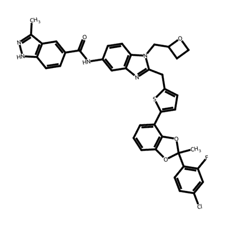 Cc1n[nH]c2ccc(C(=O)Nc3ccc4c(c3)nc(Cc3ccc(-c5cccc6c5OC(C)(c5ccc(Cl)cc5F)O6)s3)n4CC3CCO3)cc12